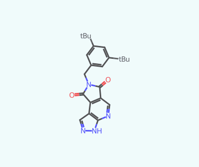 CC(C)(C)c1cc(CN2C(=O)c3cnc4[nH]ncc4c3C2=O)cc(C(C)(C)C)c1